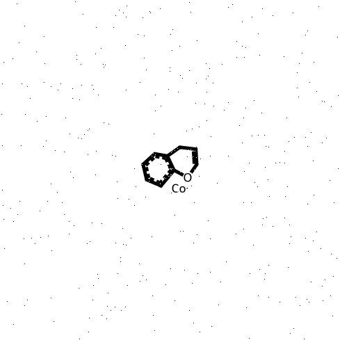 C1=COc2ccccc2C1.[Co]